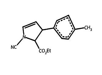 CCOC(=O)C1C(c2ccc(C)cc2)C=CN1C#N